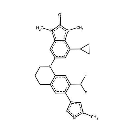 Cn1cc(-c2cc3c(cc2C(F)F)N(c2cc(C4CC4)c4c(c2)n(C)c(=O)n4C)CCC3)cn1